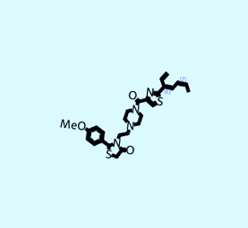 C=C/C(=C\C=C/C)c1nc(C(=O)N2CCN(CCN3C(=O)CSC3c3ccc(OC)cc3)CC2)cs1